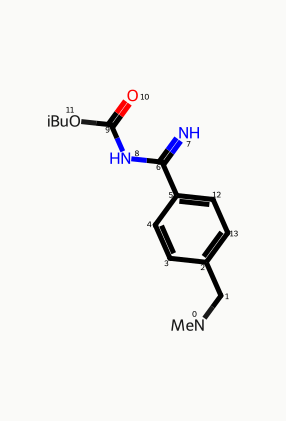 CNCc1ccc(C(=N)NC(=O)OCC(C)C)cc1